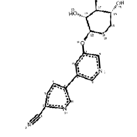 N#Cc1ccc(-c2cncc(O[C@@H]3SC[C@@H](O)[C@H](O)[C@H]3O)c2)cn1